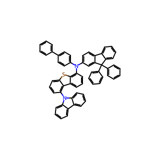 c1ccc(-c2ccc(N(c3ccc4c(c3)C(c3ccccc3)(c3ccccc3)c3ccccc3-4)c3cccc4c3sc3cccc(-n5c6ccccc6c6ccccc65)c34)cc2)cc1